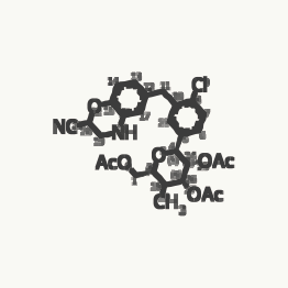 CC(=O)OC[C@H]1O[C@@H](c2ccc(Cl)c(Cc3ccc4c(c3)NCC(C#N)O4)c2)[C@H](OC(C)=O)[C@@H](OC(C)=O)C1C